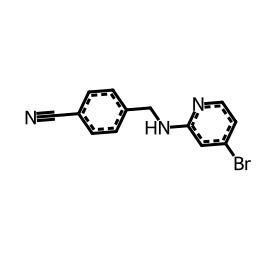 N#Cc1ccc(CNc2cc(Br)ccn2)cc1